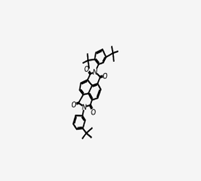 CC(C)(C)c1cccc(N2C(=O)c3ccc4c5c(ccc(c35)C2=O)C(=O)N(c2cc(C(C)(C)C)ccc2C(C)(C)C)C4=O)c1